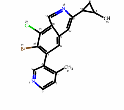 Cc1ccncc1-c1cc2cc(C3CC3C#N)ncc2c(Cl)c1Br